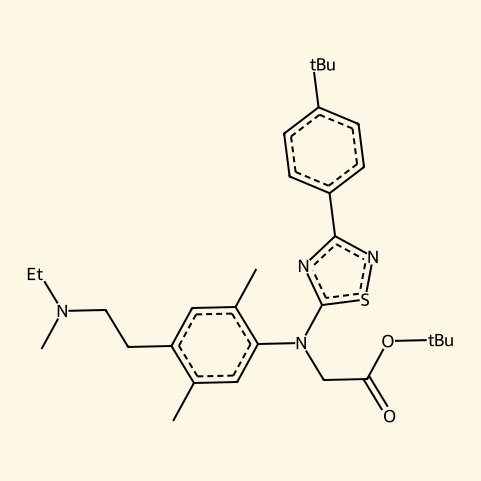 CCN(C)CCc1cc(C)c(N(CC(=O)OC(C)(C)C)c2nc(-c3ccc(C(C)(C)C)cc3)ns2)cc1C